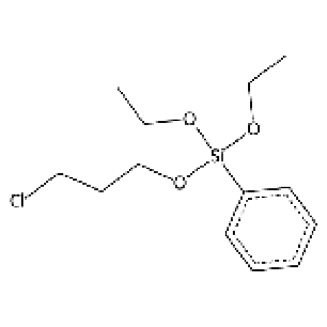 CCO[Si](OCC)(OCCCCl)c1ccccc1